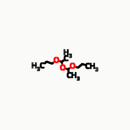 CCCOC(C)OC(C)OCCC